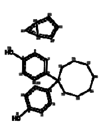 Oc1ccc(C2(c3ccc(O)cc3)CCCCCCC2)cc1.c1cc2cc-2c1